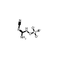 N#CN=C(N)NO[Cl+3]([O-])([O-])[O-]